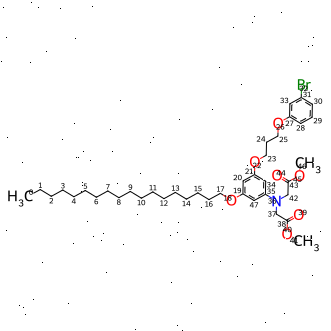 CCCCCCCCCCCCCCCCCCOc1cc(OCCCOc2cccc(Br)c2)cc(N(CC(=O)OC)CC(=O)OC)c1